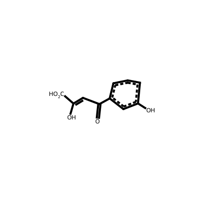 O=C(O)C(O)=CC(=O)c1cccc(O)c1